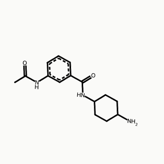 CC(=O)Nc1cccc(C(=O)NC2CCC(N)CC2)c1